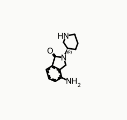 Nc1cccc2c1CN([C@@H]1CCCNC1)C2=O